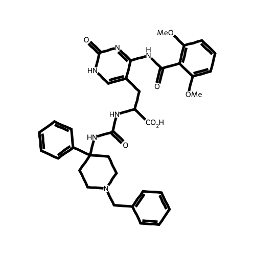 COc1cccc(OC)c1C(=O)Nc1nc(=O)[nH]cc1CC(NC(=O)NC1(c2ccccc2)CCN(Cc2ccccc2)CC1)C(=O)O